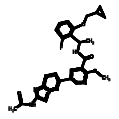 COc1ncc(-c2ccc3nc(NC(C)=O)cn3n2)cc1C(=O)NC(C)c1c(F)cccc1OCC1CC1